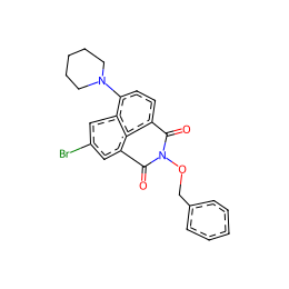 O=C1c2ccc(N3CCCCC3)c3cc(Br)cc(c23)C(=O)N1OCc1ccccc1